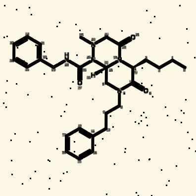 CCCC[C@H]1C(=O)N(CCCc2ccccc2)C[C@H]2N1C(=O)CN(C)N2C(=O)NCc1ccccc1